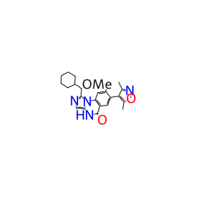 COc1cc2c(cc1-c1c(C)noc1C)c(=O)[nH]c1cnc(CC3CCCCC3)n12